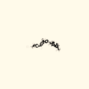 CCc1cc(NC(=O)c2ncc(-c3ccc(OC(F)F)c(F)c3F)n2C)ccc1C(=O)N1CCN(C(=O)C2CCN(C(=O)OC(C)(C)C)CC2)CC1